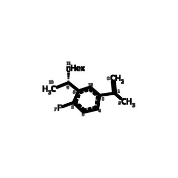 C=C(C)c1ccc(F)c([C@H](C)CCCCCC)c1